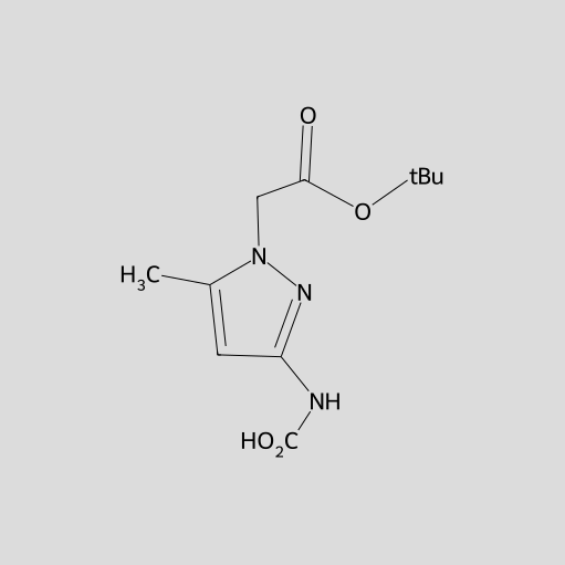 Cc1cc(NC(=O)O)nn1CC(=O)OC(C)(C)C